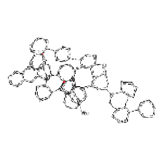 CC(C)(C)c1cc2oc3c(N(c4ccccc4)c4ccccc4-c4cccc5ccccc45)ccc4c5c(-c6ccc(-c7ccccc7-c7cccc8cc9ccccc9cc78)cc6)ccc6oc7cc(N8Cc9cccc(-c%10ccccc%10)c9-c9ccccc98)cc(c(c1)c2c34)c7c65